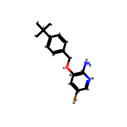 CC(C)(C)c1ccc(COc2cc(Br)cnc2N)cc1